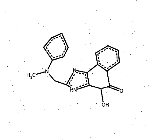 CN(Cc1nc2c([nH]1)C(O)C(=O)c1ccccc1-2)c1ccccc1